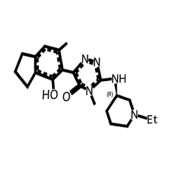 CCN1CCC[C@@H](Nc2nnc(-c3c(C)cc4c(c3O)CCC4)c(=O)n2C)C1